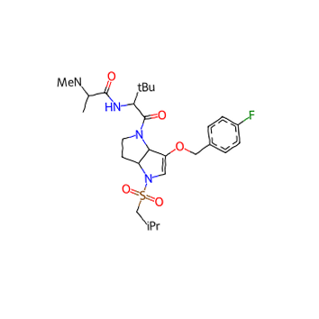 CNC(C)C(=O)NC(C(=O)N1CCC2C1C(OCc1ccc(F)cc1)=CN2S(=O)(=O)CC(C)C)C(C)(C)C